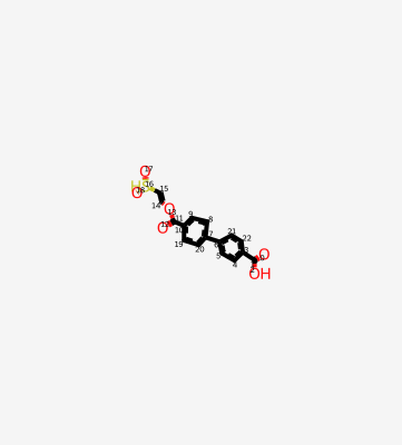 O=C(O)c1ccc(-c2ccc(C(=O)OC=C[SH](=O)=O)cc2)cc1